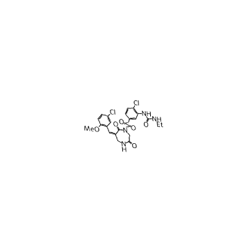 CCNC(=O)Nc1cc(S(=O)(=O)N2CC(=O)NCC(=Cc3cc(Cl)ccc3OC)C2=O)ccc1Cl